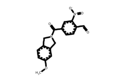 COc1ccc2c(c1)CN(C(=O)c1ccc(C=O)c([N+](=O)[O-])c1)C2